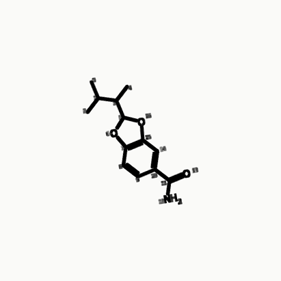 CC(C)C(C)C1Oc2ccc(C(N)=O)cc2O1